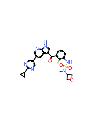 CN(C1COC1)S(=O)(=O)Nc1cccc(C(=O)c2c[nH]c3ncc(-c4cnc(C5CC5)nc4)cc23)c1F